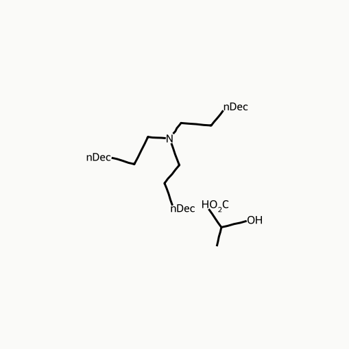 CC(O)C(=O)O.CCCCCCCCCCCCN(CCCCCCCCCCCC)CCCCCCCCCCCC